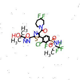 CC[C@H](NS(=O)(=O)c1ccc(-c2sc(-c3nnc(C(C)(C)O)o3)nc2C(=O)N2CCCC(F)(F)CC2)c(Cl)c1F)C(F)(F)F